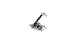 CCCCCCCCC[C@H](CC(=O)NO)C(=O)N[C@H](C(=O)NC)C(C)(C)C